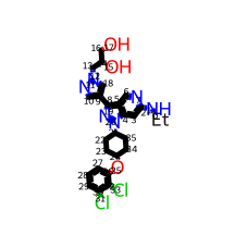 CCNc1cc2c(cn1)c(-c1cnn(C[C@@H](O)CO)c1)nn2[C@H]1CC[C@@H](Oc2cccc(Cl)c2Cl)CC1